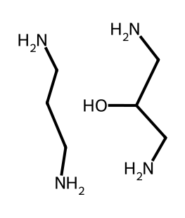 NCC(O)CN.NCCCN